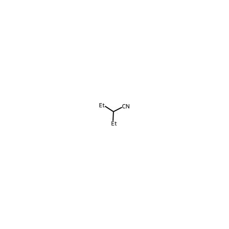 CCC(C#N)CC